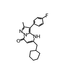 Cc1nn2c(=O)cc(CC3CCCCC3)[nH]c2c1-c1ccc(F)cc1